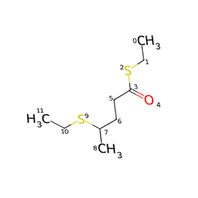 CCSC(=O)CCC(C)SCC